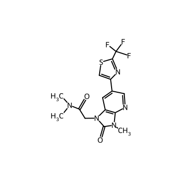 CN(C)C(=O)Cn1c(=O)n(C)c2ncc(-c3csc(C(F)(F)F)n3)cc21